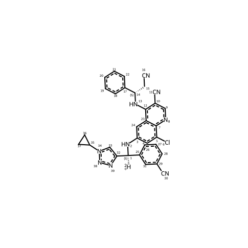 [2H][C@](Nc1cc(Cl)c2ncc(C#N)c(N[C@@H](CC#N)c3ccccc3)c2c1)(c1cccc(C#N)c1)c1cn(C2CC2)nn1